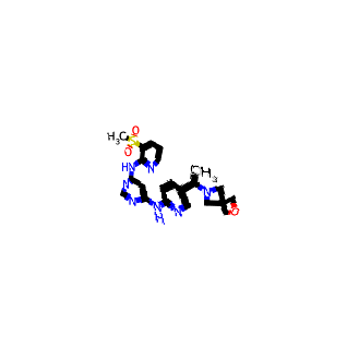 CC(c1ccc(Nc2cc(Nc3ncccc3S(C)(=O)=O)ncn2)nc1)N1CC2(COC2)C1